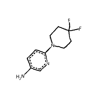 Nc1ccc(N2CCC(F)(F)CC2)nc1